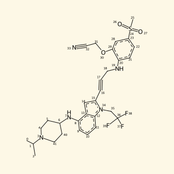 CC(C)N1CCC(Nc2cccc3c2cc(C#CCNc2ccc(S(C)(=O)=O)cc2OCC#N)n3CC(F)(F)F)CC1